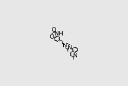 Cc1ccc2c(N3CCN(CCc4ccc5c(c4)NC(=O)CO5)CC3C)cccc2n1